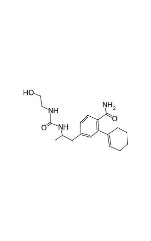 CC(Cc1ccc(C(N)=O)c(C2=CCCCC2)c1)NC(=O)NCCO